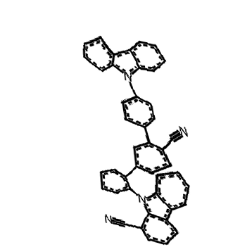 N#Cc1ccc(-c2ccccc2-n2c3ccccc3c3cccc(C#N)c32)cc1-c1ccc(-n2c3ccccc3c3ccccc32)cc1